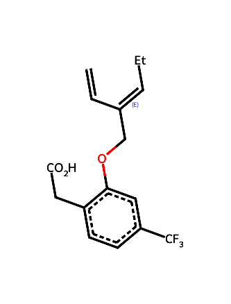 C=C/C(=C\CC)COc1cc(C(F)(F)F)ccc1CC(=O)O